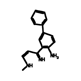 CN/C=C\C(=N)c1cc(-c2ccccc2)ccc1N